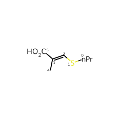 [CH2]CCSC=C(C)C(=O)O